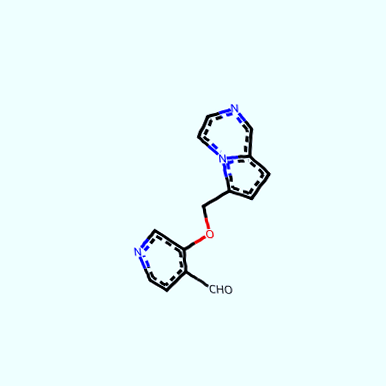 O=Cc1ccncc1OCc1ccc2cnccn12